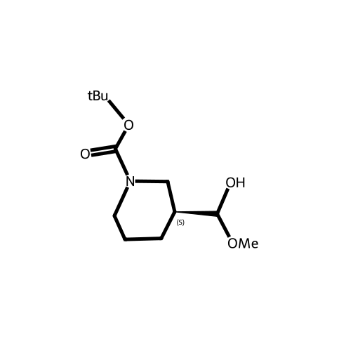 COC(O)[C@H]1CCCN(C(=O)OC(C)(C)C)C1